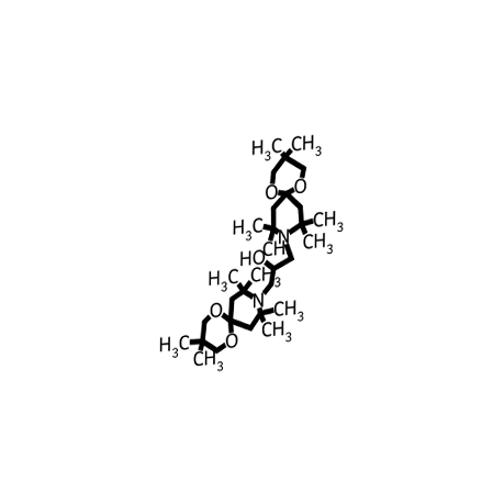 CC1(C)COC2(CC(C)(C)N(CC(O)CN3C(C)(C)CC4(CC3(C)C)OCC(C)(C)CO4)C(C)(C)C2)OC1